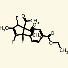 CCOC(=O)c1ccc(C2(F)C(F)=C(C)C(F)C2(C(C)=O)C(C)=O)cc1